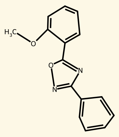 COc1ccccc1-c1nc(-c2ccccc2)no1